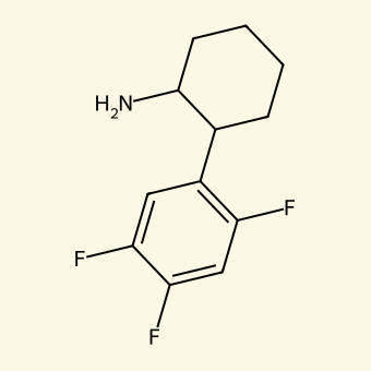 NC1CCCCC1c1cc(F)c(F)cc1F